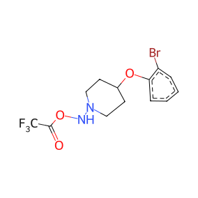 O=C(ONN1CCC(Oc2ccccc2Br)CC1)C(F)(F)F